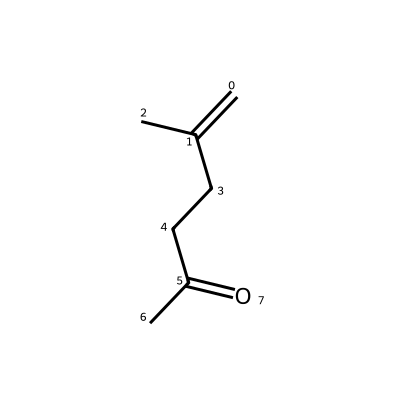 C=C(C)CCC(C)=O